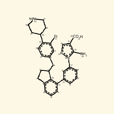 CCc1cc(CC2CCc3cccc(-c4cccc(-n5ncc(C(=O)O)c5N)c4)c32)ccc1C1CCNCC1